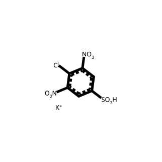 O=[N+]([O-])c1cc(S(=O)(=O)O)cc([N+](=O)[O-])c1Cl.[K+]